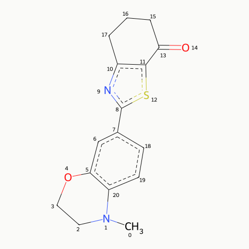 CN1CCOc2cc(-c3nc4c(s3)C(=O)CCC4)ccc21